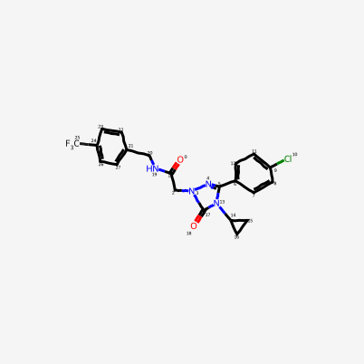 O=C(Cn1nc(-c2ccc(Cl)cc2)n(C2CC2)c1=O)NCc1ccc(C(F)(F)F)cc1